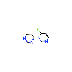 FC1C=CN=CN1c1ccncn1